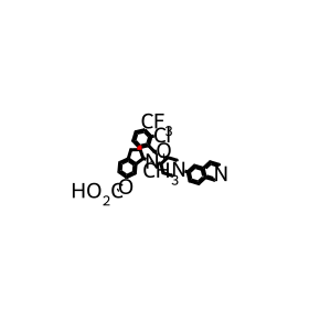 C[N+](C(=O)c1cccc(C(F)(F)F)c1Cl)(C1CCN(c2ccc3cnccc3c2)CC1)C1CCc2ccc(OC(=O)O)cc21